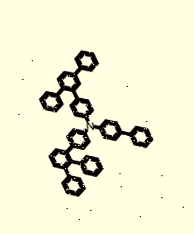 c1ccc(-c2ccc(N(c3ccc(-c4cc(-c5ccccc5)ccc4-c4ccccc4)cc3)c3ccc(-c4cccc(-c5ccccc5)c4-c4ccccc4)cc3)cc2)cc1